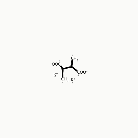 CC(C(=O)[O-])C(C)C(=O)[O-].[K+].[K+]